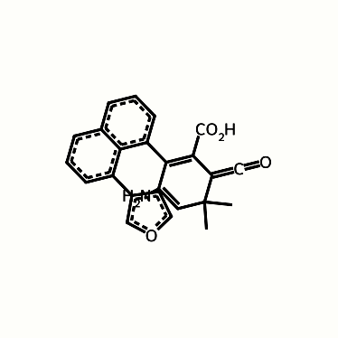 CC1(C)C=C(N)C(c2cccc3cccc(-c4ccoc4)c23)=C(C(=O)O)C1=C=O